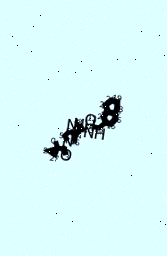 CC1(C(=O)N2Cc3n[nH]c(NC(=O)Cc4ccc5ccccc5c4)c3C2)CC1